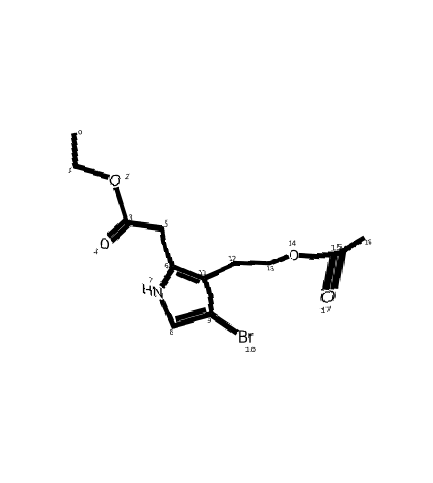 CCOC(=O)Cc1[nH]cc(Br)c1CCOC(C)=O